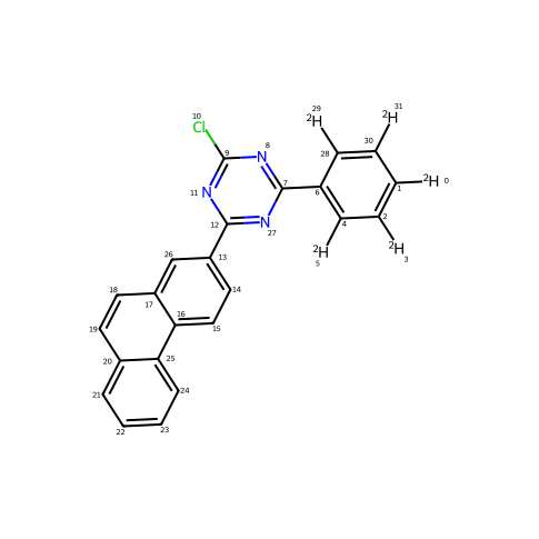 [2H]c1c([2H])c([2H])c(-c2nc(Cl)nc(-c3ccc4c(ccc5ccccc54)c3)n2)c([2H])c1[2H]